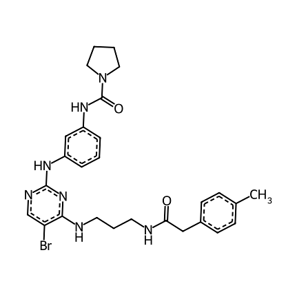 Cc1ccc(CC(=O)NCCCNc2nc(Nc3cccc(NC(=O)N4CCCC4)c3)ncc2Br)cc1